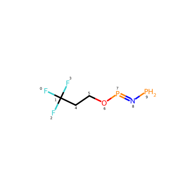 FC(F)(F)CCOP=NP